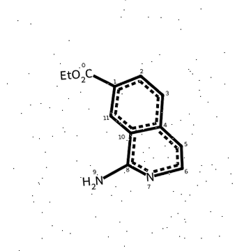 CCOC(=O)c1ccc2ccnc(N)c2c1